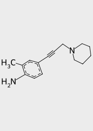 Cc1cc(C#CCN2CCCCC2)ccc1N